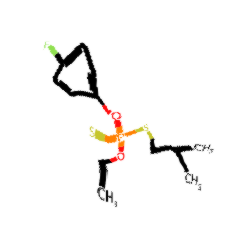 CCOP(=S)(Oc1ccc(F)cc1)SCC(C)C